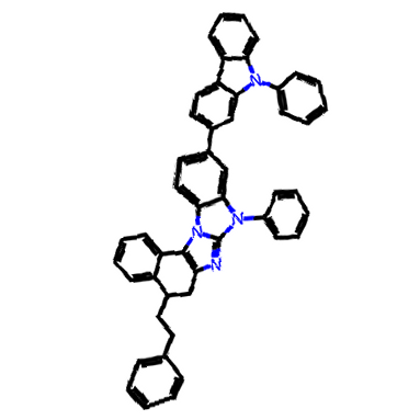 c1ccc(CCC2Cc3nc4n(-c5ccccc5)c5cc(-c6ccc7c8ccccc8n(-c8ccccc8)c7c6)ccc5n4c3-c3ccccc32)cc1